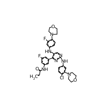 C=CC(=O)Nc1cc(F)cc(-c2nc(Nc3ccc(Cl)c(N4CCOCC4)c3)ncc2Nc2ccc(N3CCOCC3)c(F)c2)c1